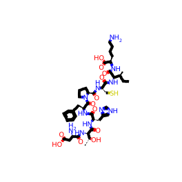 CC[C@H](C)[C@H](NC(=O)[C@H](CS)NC(=O)[C@@H]1CCCN1C(=O)[C@H](Cc1ccccc1)NC(=O)[C@H](Cc1c[nH]cn1)NC(=O)[C@@H](NC(=O)[C@@H](N)CC(=O)O)[C@@H](C)O)C(=O)N[C@H](CCCCN)C(=O)O